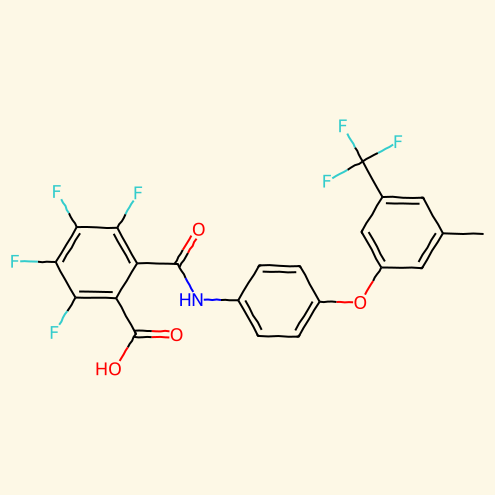 Cc1cc(Oc2ccc(NC(=O)c3c(F)c(F)c(F)c(F)c3C(=O)O)cc2)cc(C(F)(F)F)c1